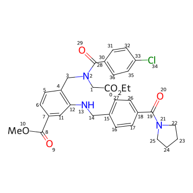 CCOC(=O)CN(Cc1ccc(C(=O)OC)cc1NCc1ccc(C(=O)N2CCCC2)cc1)C(=O)c1ccc(Cl)cc1